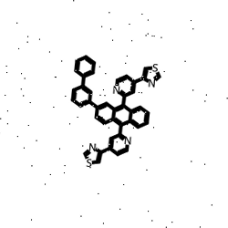 c1ccc(-c2cccc(-c3ccc4c(-c5cc(-c6cscn6)ccn5)c5ccccc5c(-c5cc(-c6cscn6)ccn5)c4c3)c2)cc1